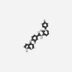 O=C(Nc1cccn(-c2ccc(F)cc2)c1=O)c1ccc(Oc2ccnc3[nH]ccc23)c(F)c1